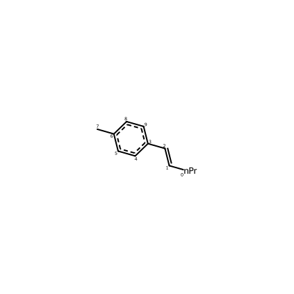 CCCC=Cc1ccc(C)cc1